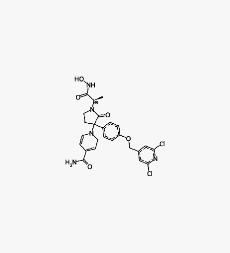 C[C@H](C(=O)NO)N1CCC(c2ccc(OCc3cc(Cl)nc(Cl)c3)cc2)(N2C=CC(C(N)=O)=CC2)C1=O